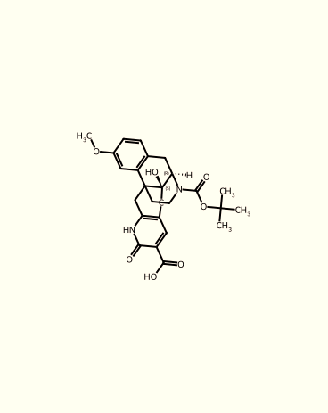 COc1ccc2c(c1)C13CCN(C(=O)OC(C)(C)C)[C@H](C2)[C@]1(O)Cc1cc(C(=O)O)c(=O)[nH]c1C3